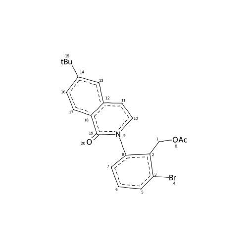 CC(=O)OCc1c(Br)cccc1-n1ccc2cc(C(C)(C)C)ccc2c1=O